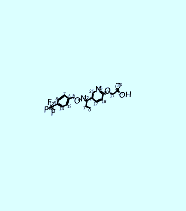 CC/C(=N\OCc1ccc(C(F)(F)F)cc1)c1ccc(OCC(=O)O)nc1